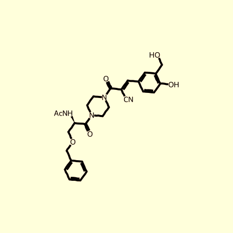 CC(=O)N[C@H](COCc1ccccc1)C(=O)N1CCN(C(=O)/C(C#N)=C/c2ccc(O)c(CO)c2)CC1